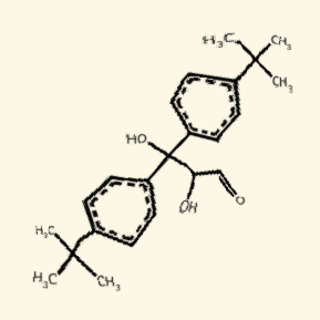 CC(C)(C)c1ccc(C(O)(c2ccc(C(C)(C)C)cc2)C(O)C=O)cc1